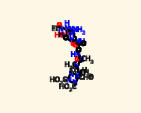 CCC(=O)NCCNC(=O)/N=C(/N)NCCC[C@@H](NC(=O)C(c1ccccc1)c1ccc(NCC(=O)N(C)CCCN(C)CCCN(C)C(C=O)N2CCN(CC(=O)O)CCN(CC(=O)O)CCN(CC(=O)O)CC2)cc1)C(=O)NCc1ccc(O)cc1